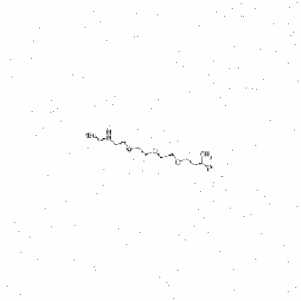 CC(C)C(C)CCOCCOCCOCCNCC(C)(C)C